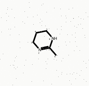 [CH2]C1=NCCCN1